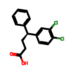 O=C(O)CC[C@@H](c1ccccc1)c1ccc(Cl)c(Cl)c1